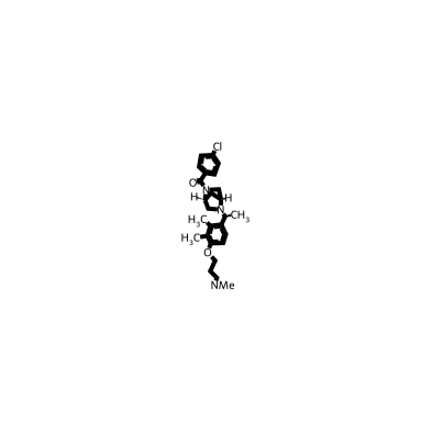 CNCCCOc1ccc([C@H](C)N2C[C@@H]3C[C@H]2CN3C(=O)c2ccc(Cl)cc2)c(C)c1C